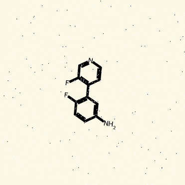 Nc1ccc(F)c(-c2ccncc2F)c1